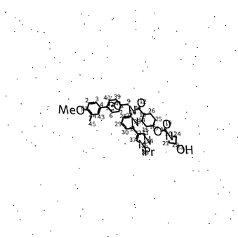 COc1ccc(C23CCC(CN(C(=O)C4CCC(OC(=O)N5CC(O)C5)CC4)c4cccc(-c5cnn(C(C)C)c5)n4)(CC2)CC3)cc1C